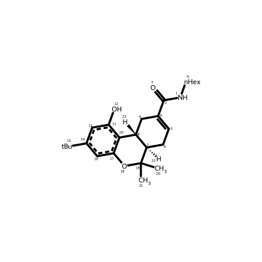 CCCCCCNC(=O)C1=CC[C@@H]2[C@@H](C1)c1c(O)cc(C(C)(C)C)cc1OC2(C)C